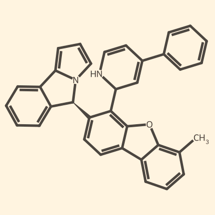 Cc1cccc2c1oc1c(C3C=C(c4ccccc4)C=CN3)c([C@H]3c4ccccc4-c4cccn43)ccc12